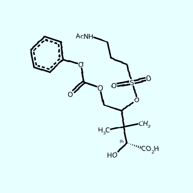 CC(=O)NCCCS(=O)(=O)OC(COC(=O)Oc1ccccc1)C(C)(C)[C@@H](O)C(=O)O